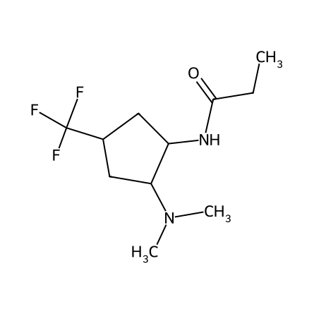 CCC(=O)NC1CC(C(F)(F)F)CC1N(C)C